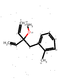 C=CC(C=C)(Cc1ccccc1C)O[SiH3]